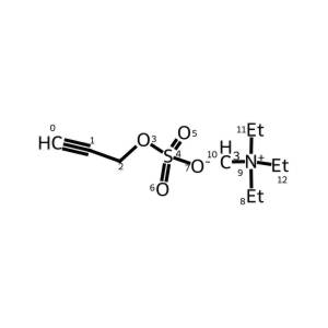 C#CCOS(=O)(=O)[O-].CC[N+](C)(CC)CC